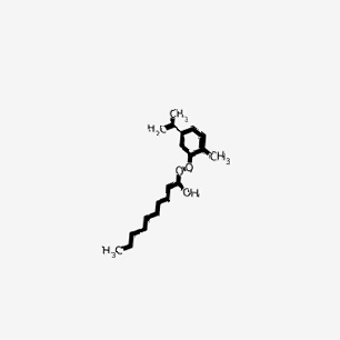 C=C(C)[C@H]1CC=C(C)C(OOC(O)CCCCCCCCC)C1